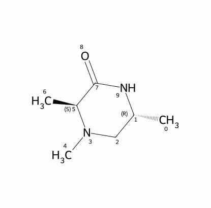 C[C@@H]1CN(C)[C@@H](C)C(=O)N1